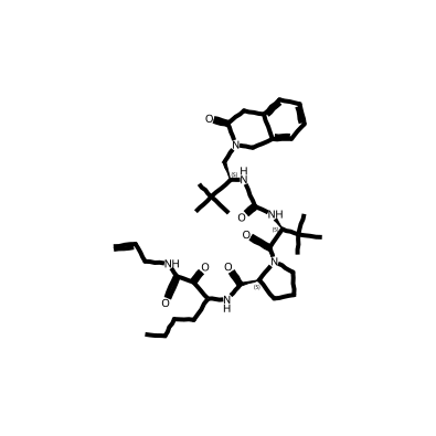 C=CCNC(=O)C(=O)C(CCCC)NC(=O)[C@@H]1CCCN1C(=O)[C@@H](NC(=O)N[C@H](CN1Cc2ccccc2CC1=O)C(C)(C)C)C(C)(C)C